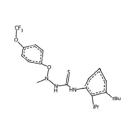 CC(C)c1c(NC(=S)NN(C)Oc2ccc(OC(F)(F)F)cc2)cccc1C(C)(C)C